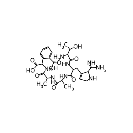 CC(NC(=O)C(C)NC(=O)C(CC1=CCNC1C(=N)N)NC(=O)C(N)C(C)O)C(=O)NC(C(=O)O)c1ccccc1C(=O)O